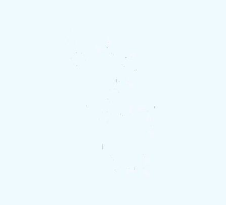 COc1cc2cc(c1-c1ccc(NC(=O)[C@H](C)NC(=O)C(NC(=O)OCC3c4ccccc4-c4ccccc43)C(C)C)cc1)N(C)C(=O)C[C@H](OC(=O)C(C)C)[C@]1(C)O[C@H]1[C@H](C)[C@@H]1C[C@@](O)(NC(=O)O1)[C@H](OC)/C=C/C=C(\C)C2